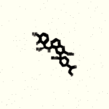 COc1nc2ncnc(N[C@H](C)c3cccc(C(F)(F)F)c3F)c2cc1C1(OC)CCN(C(=O)CF)CC1